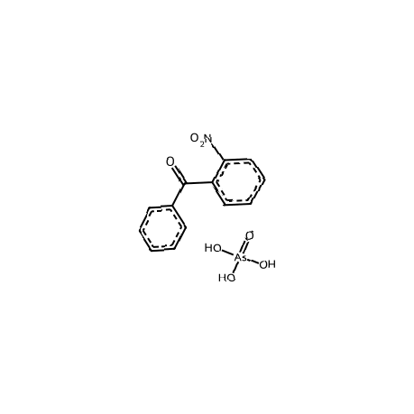 O=C(c1ccccc1)c1ccccc1[N+](=O)[O-].O=[As](O)(O)O